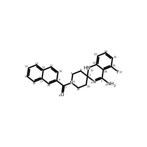 NC1=NC2(CCN(C(=O)c3ccc4ccccc4c3)CC2)Nc2cccc(F)c21